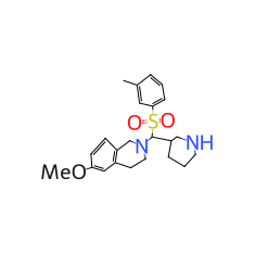 COc1ccc2c(c1)CCN(C(C1CCCNC1)S(=O)(=O)c1cccc(C)c1)C2